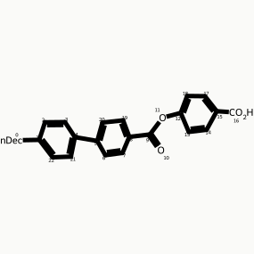 CCCCCCCCCCc1ccc(-c2ccc(C(=O)Oc3ccc(C(=O)O)cc3)cc2)cc1